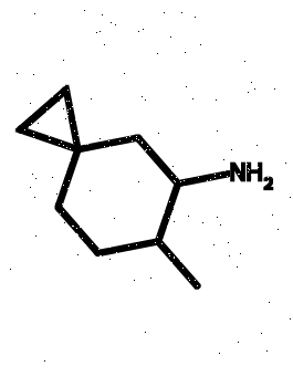 CC1CCC2(CC2)CC1N